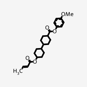 C/C=C/C(=O)OC1CCC(C2CCC(C(=O)Oc3ccc(OC)cc3)CC2)CC1